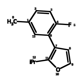 Cc1ccc(F)c(-c2ccoc2C(C)C)c1